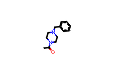 CC(=O)N1CCN(Cc2c[c]ccc2)CC1